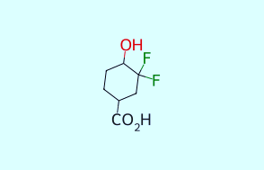 O=C(O)C1CCC(O)C(F)(F)C1